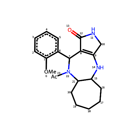 COc1ccccc1C1C2=C(CNC2=O)NC2CCCCCC2N1C(C)=O